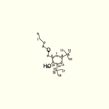 CCCCOCc1cc(C(C)(C)C)cc(C(C)(C)C)c1O